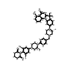 C[C@@H]1CN(Cc2cnc(N3CCN(c4cc(F)c(N5C(=O)CCCC5=O)c(F)c4)C[C@@H]3C)nc2)CCN1c1ccc2c(c1)-n1c(nc(=O)c3c(Cl)cccc31)C2(C)C